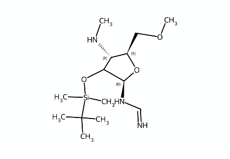 CN[C@H]1C(O[Si](C)(C)C(C)(C)C)[C@H](NC=N)O[C@@H]1COC